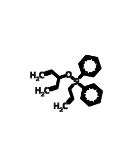 C=CC[Si](OC(C=C)C=C)(c1ccccc1)c1ccccc1